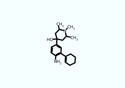 CC1CC(O)(c2ccc(N)c(C3=CCCCC3)c2)CC(C)N1C